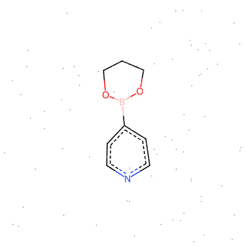 c1cc(B2OCCCO2)ccn1